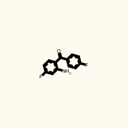 Nc1cc(F)ccc1C(=O)c1ccc(F)cc1